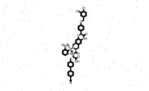 N#Cc1ccc(-c2ccc(C[C@H](NC(=O)[C@@H]3Cc4cc5c(cc4CN3S(=O)(=O)c3ccccc3[N+](=O)[O-])OC(c3ccc(OCc4ccc(Cl)c(Cl)c4)cc3)C(=O)N5)C(=O)O)cc2)cc1